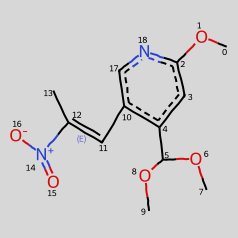 COc1cc(C(OC)OC)c(/C=C(\C)[N+](=O)[O-])cn1